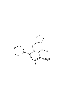 CCSC1C(C(=O)O)=C(C)C=C(N2CCOCC2)N1CC1CCCC1